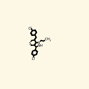 CCCN1NC(c2ccc(Cl)cc2)C2=C1C(=Cc1ccc(Cl)cc1)CSC2